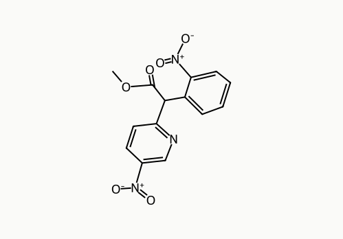 COC(=O)C(c1ccc([N+](=O)[O-])cn1)c1ccccc1[N+](=O)[O-]